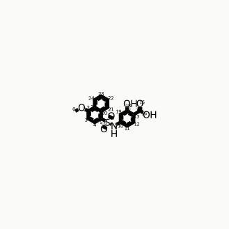 COc1ccc(S(=O)(=O)Nc2ccc(C(=O)O)c(O)c2)c2ccccc12